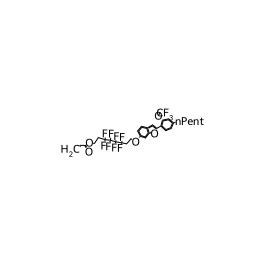 C=CC(=O)OCCC(F)(F)C(F)(F)C(F)(F)C(F)(F)CCOc1ccc2cc(-c3ccc(CCCCC)cc3OC(F)(F)F)oc2c1